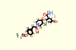 NC(=O)c1cc(Br)cnc1OC1CCN(C(=O)Cc2ccc(OC(F)(F)F)cc2)C[C@@H]1F